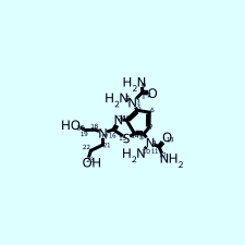 NC(=O)N(N)c1ccc(N(N)C(N)=O)c2sc(N(CCO)CCO)nc12